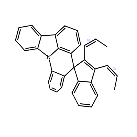 C/C=C\C1=C(/C=C\C)C2(c3ccccc31)c1ccccc1-n1c3ccccc3c3cccc2c31